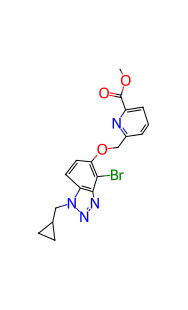 COC(=O)c1cccc(COc2ccc3c(nnn3CC3CC3)c2Br)n1